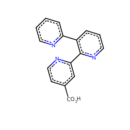 O=C(O)c1ccnc(-c2ncccc2-c2ccccn2)c1